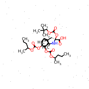 CCCC(C)OC(=O)Oc1ccc(C[C@](NC(C)CC)(OC(=O)OCC(C)(C)C)C(=O)O)cc1OC(=O)OC(C)CCC